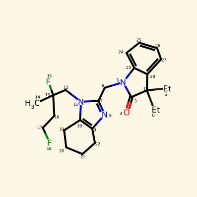 CCC1(CC)C(=O)N(Cc2nc3c(n2CC(C)(F)CCF)CCCC3)c2ccccc21